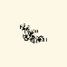 CC1(C)C[C@H](CNNC(=O)[C@@H]2[C@H]3CCC[C@H]3CN2C(=O)[C@@H](NC(=O)C2CC2(F)F)C(C)(C)C)C(=O)N1